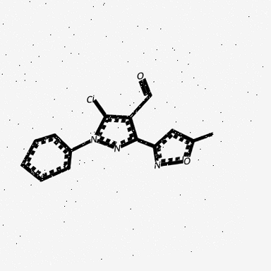 Cc1cc(-c2nn(-c3ccccc3)c(Cl)c2C=O)no1